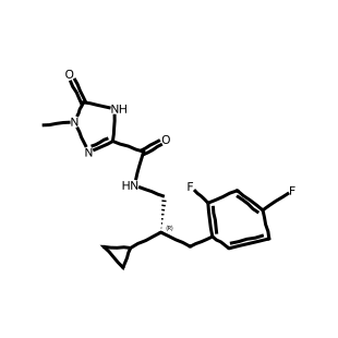 Cn1nc(C(=O)NC[C@H](Cc2ccc(F)cc2F)C2CC2)[nH]c1=O